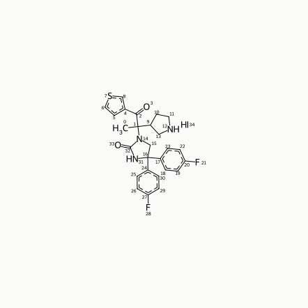 CC(C(=O)c1ccsc1)(C1CCNC1)N1CC(c2ccc(F)cc2)(c2ccc(F)cc2)NC1=O.I